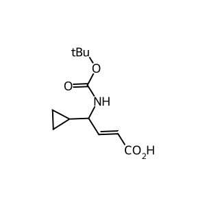 CC(C)(C)OC(=O)NC(/C=C/C(=O)O)C1CC1